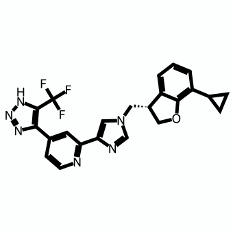 FC(F)(F)c1[nH]nnc1-c1ccnc(-c2cn(C[C@H]3COc4c(C5CC5)cccc43)cn2)c1